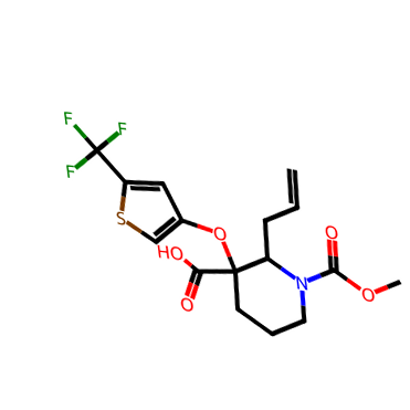 C=CCC1N(C(=O)OC)CCCC1(Oc1csc(C(F)(F)F)c1)C(=O)O